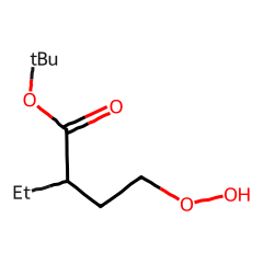 CCC(CCOO)C(=O)OC(C)(C)C